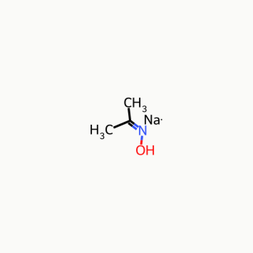 CC(C)=NO.[Na]